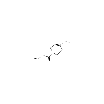 CCOC(=O)N1CC=C(OC)CC1